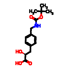 CC(C)(C)OC(=O)NCc1ccc(C[C@@H](O)C(=O)O)cc1